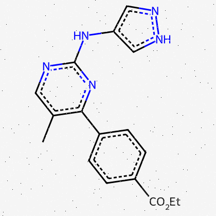 CCOC(=O)c1ccc(-c2nc(Nc3cn[nH]c3)ncc2C)cc1